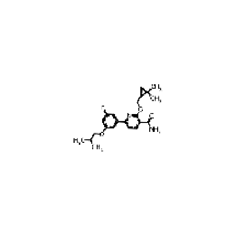 CC(C)COc1cc(F)cc(-c2ccc(C(N)=O)c(OCC3CC3(C)C)n2)c1